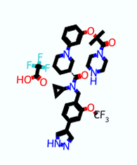 CC(C)(Oc1cccc(N2CCC[C@@H](C(=O)N(Cc3ccc(-c4cn[nH]c4)cc3OC(F)(F)F)C3CC3)C2)c1)C(=O)N1CCNCC1.O=C(O)C(F)(F)F